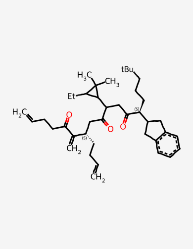 C=CCCC(=O)C(=C)[C@@H](CCC=C)CC(=O)C(CC(=O)[C@@H](CCCC(C)(C)C)C1Cc2ccccc2C1)C1C(CC)C1(C)C